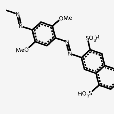 CN=Nc1cc(OC)c(N=Nc2cc3c(S(=O)(=O)O)cccc3cc2S(=O)(=O)O)cc1OC